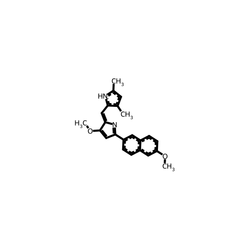 COC1=CC(c2ccc3cc(OC)ccc3c2)=NC1=Cc1[nH]c(C)cc1C